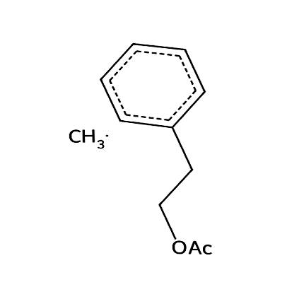 CC(=O)OCCc1ccccc1.[CH3]